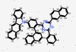 c1ccc(-c2nc(-c3ccc4ccccc4c3)nc(-c3ccc(-n4c5ccccc5c5cc6ccccc6cc54)cc3-c3cccc4ccccc34)n2)cc1